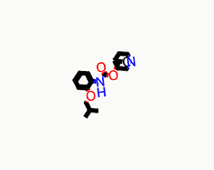 CC(C)COc1ccccc1NC(=O)OC1CN2CCC1CC2